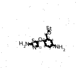 CCOCc1cc(N)ccc1Oc1cnc(N)s1